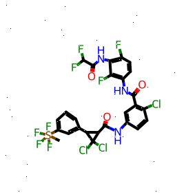 CS(F)(F)(F)(F)c1cccc(C2C(C(=O)Nc3ccc(Cl)c(C(=O)Nc4ccc(F)c(NC(=O)C(F)F)c4F)c3)C2(Cl)Cl)c1